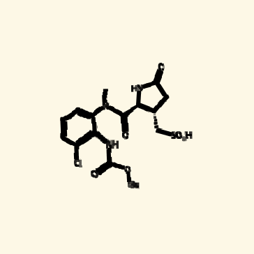 CN(C(=O)[C@H]1NC(=O)C[C@@H]1CS(=O)(=O)O)c1cccc(Cl)c1NC(=O)OC(C)(C)C